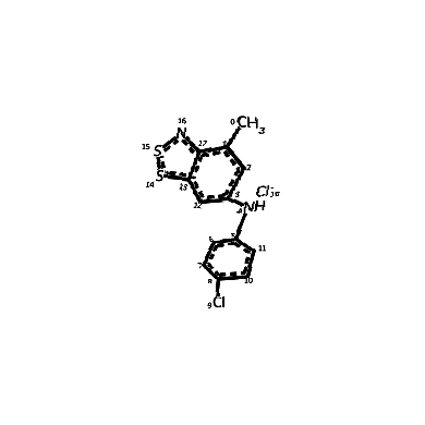 Cc1cc(Nc2ccc(Cl)cc2)cc2[s+]snc12.[Cl-]